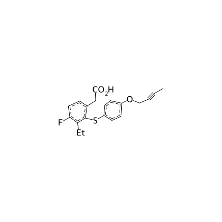 CC#CCOc1ccc(Sc2c(CC(=O)O)ccc(F)c2CC)cc1